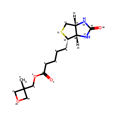 CC1(COC(=O)CCCC[C@@H]2SC[C@@H]3NC(=O)N[C@@H]32)COC1